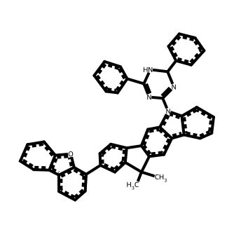 CC1(C)c2cc(-c3cccc4c3oc3ccccc34)ccc2-c2cc3c(cc21)c1ccccc1n3C1=NC(c2ccccc2)NC(c2ccccc2)=N1